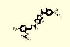 CC(C)(C)C(=O)Nc1cc(C(F)(F)F)cnc1COC(=O)N1CC2CN(C(=O)c3ccc([S+](N)[O-])cc3F)C[C@H]2C1